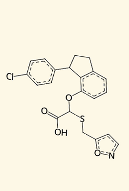 O=C(O)C(Oc1cccc2c1C(c1ccc(Cl)cc1)CC2)SCc1ccno1